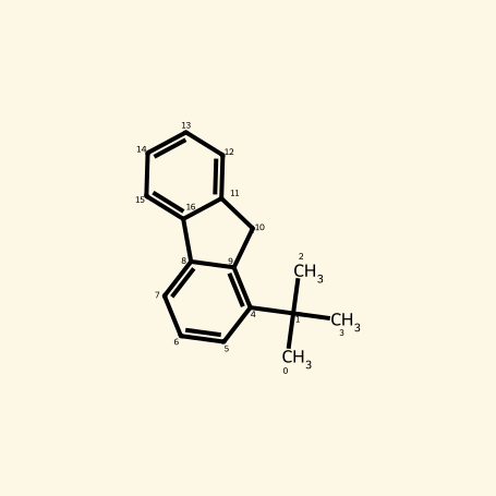 CC(C)(C)c1cccc2c1[CH]c1ccccc1-2